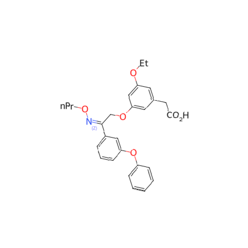 CCCO/N=C(\COc1cc(CC(=O)O)cc(OCC)c1)c1cccc(Oc2ccccc2)c1